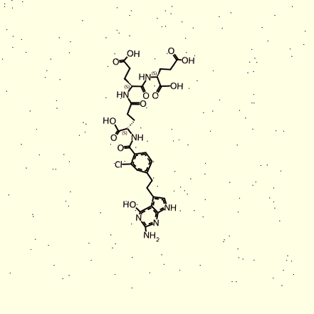 Nc1nc(O)c2c(CCc3ccc(C(=O)N[C@@H](CCC(=O)N[C@@H](CCC(=O)O)C(=O)N[C@@H](CCC(=O)O)C(=O)O)C(=O)O)c(Cl)c3)c[nH]c2n1